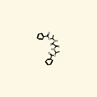 CC(NC(=S)C(=S)NC(C)OC(=O)c1ccccc1)OC(=O)c1ccccc1